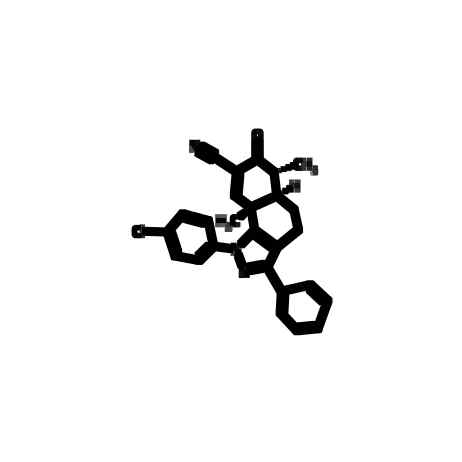 C[C@H]1C(=O)C(C#N)=C[C@@]2(C)c3c(c(-c4ccccc4)nn3-c3ccc(Cl)cc3)CC[C@H]12